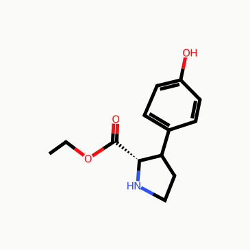 CCOC(=O)[C@H]1NCCC1c1ccc(O)cc1